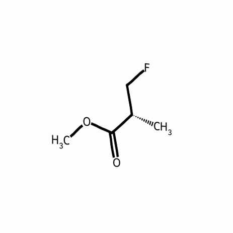 COC(=O)[C@@H](C)CF